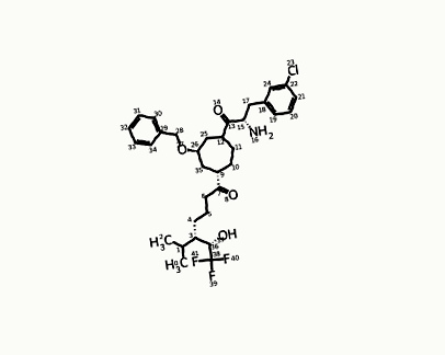 CC(C)[C@H](CCCC(=O)[C@H]1CCC(C(=O)[C@@H](N)Cc2cccc(Cl)c2)C[C@H](OCc2ccccc2)C1)[C@H](O)C(F)(F)F